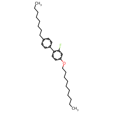 CCCCCCCCCCOc1ccc(-c2ccc(CCCCCCCC)cc2)c(F)c1